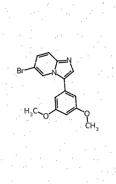 COc1cc(OC)cc(-c2cnc3ccc(Br)cn23)c1